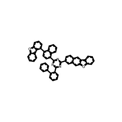 c1ccc(-c2ccccc2-c2nc(-c3ccc4cc5c(cc4c3)oc3ccccc35)nc(-c3ccc(-c4cccc5oc6ccccc6c45)c4ccccc34)n2)cc1